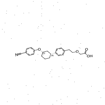 N#Cc1ccc(O[C@H]2CCC[C@@H](c3ccc(CCOCC(=O)O)cc3)C2)cc1